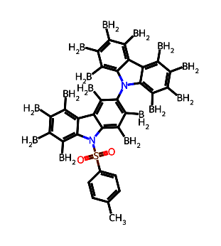 Bc1c(B)c(B)c2c(c1B)c1c(B)c(B)c(B)c(B)c1n2-c1c(B)c(B)c2c(c1B)c1c(B)c(B)c(B)c(B)c1n2S(=O)(=O)c1ccc(C)cc1